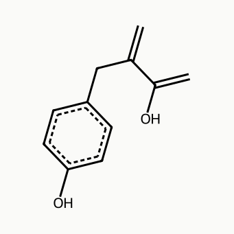 C=C(O)C(=C)Cc1ccc(O)cc1